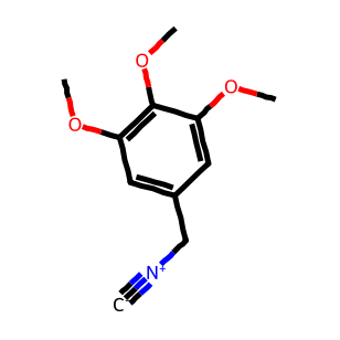 [C-]#[N+]Cc1cc(OC)c(OC)c(OC)c1